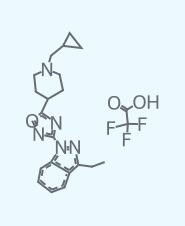 CCc1nn(-c2noc(C3CCN(CC4CC4)CC3)n2)c2ccccc12.O=C(O)C(F)(F)F